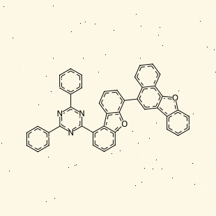 c1ccc(-c2nc(-c3ccccc3)nc(-c3cccc4oc5c(-c6cc7c8ccccc8oc7c7ccccc67)cccc5c34)n2)cc1